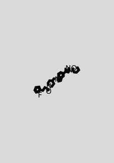 O=C(CCc1ccccc1F)N1CCC(Cn2ccc3cc(-c4cnn(C5CCCCO5)c4)ccc32)CC1